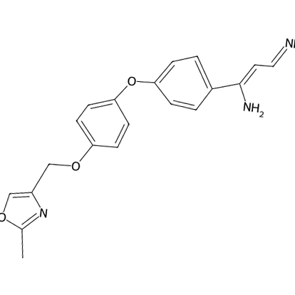 Cc1nc(COc2ccc(Oc3ccc(/C(N)=C/C=N)cc3)cc2)co1